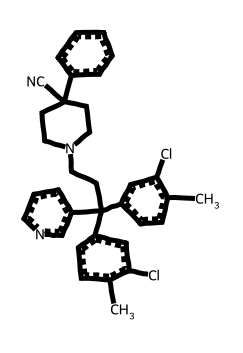 Cc1ccc(C(CCN2CCC(C#N)(c3ccccc3)CC2)(c2cccnc2)c2ccc(C)c(Cl)c2)cc1Cl